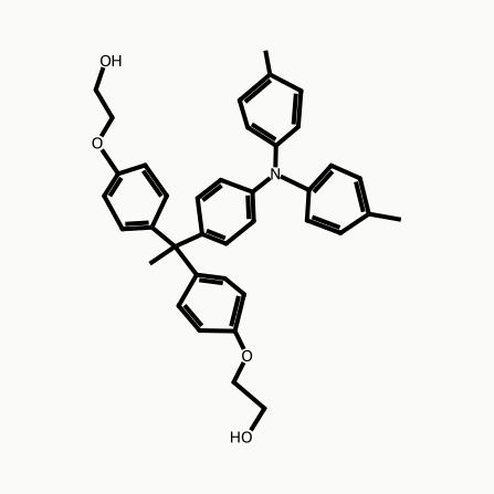 Cc1ccc(N(c2ccc(C)cc2)c2ccc(C(C)(c3ccc(OCCO)cc3)c3ccc(OCCO)cc3)cc2)cc1